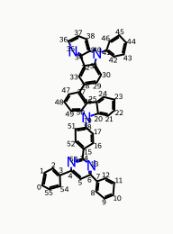 c1ccc(-c2cc(-c3ccccc3)nc(-c3ccc(-n4c5ccccc5c5c(-c6ccc7c(c6)c6ncccc6n7-c6ccccc6)cccc54)cc3)n2)cc1